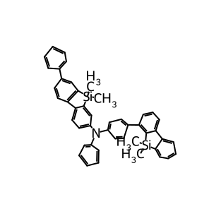 C[Si]1(C)c2cc(-c3ccccc3)ccc2-c2ccc(N(c3ccccc3)c3ccc(-c4cccc5c4[Si](C)(C)c4ccccc4-5)cc3)cc21